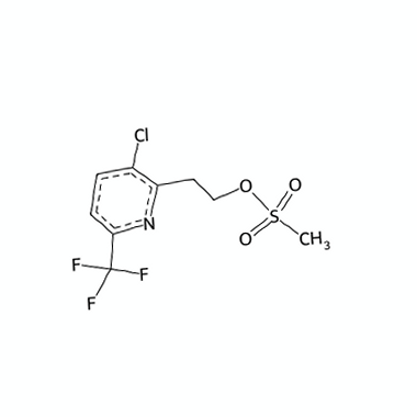 CS(=O)(=O)OCCc1nc(C(F)(F)F)ccc1Cl